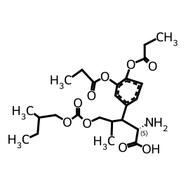 CCC(=O)Oc1ccc(C(C(C)COC(=O)OCC(C)CC)[C@H](N)C(=O)O)cc1OC(=O)CC